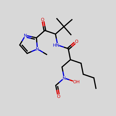 CCCCC(CN(O)C=O)C(=O)NC(C(=O)c1nccn1C)C(C)(C)C